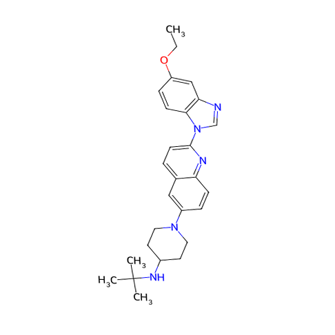 CCOc1ccc2c(c1)ncn2-c1ccc2cc(N3CCC(NC(C)(C)C)CC3)ccc2n1